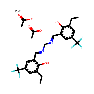 CC(=O)[O-].CC(=O)[O-].CCc1cc(C(F)(F)F)cc(C=NCN=Cc2cc(C(F)(F)F)cc(CC)c2O)c1O.[Co+2]